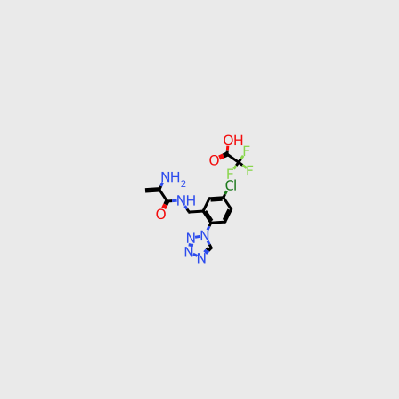 C=C(N)C(=O)NCc1cc(Cl)ccc1-n1cnnn1.O=C(O)C(F)(F)F